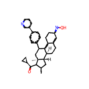 CC1C[C@H]2[C@@H]3CCC4=C/C(=N\O)CCC4=C3C(c3ccc(-c4cccnc4)cc3)C[C@]2(C)C1C(=O)C1CC1